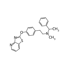 CC(c1ccccc1)N(C)CCc1ccc(Oc2nc3ncccc3s2)cc1